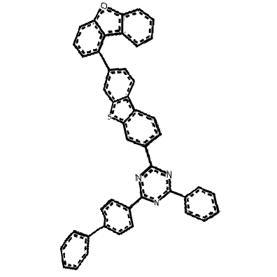 c1ccc(-c2ccc(-c3nc(-c4ccccc4)nc(-c4ccc5c(c4)sc4cc(-c6cccc7oc8ccccc8c67)ccc45)n3)cc2)cc1